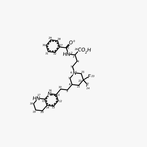 O=C(NC(CCN1CC(CCc2ccc3c(n2)NCCC3)CC(F)(F)C1)C(=O)O)c1ccccc1